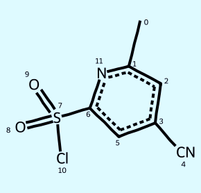 Cc1cc(C#N)cc(S(=O)(=O)Cl)n1